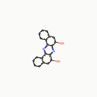 Oc1cc2ccccc2c2nc3c(nc12)c(O)cc1ccccc13